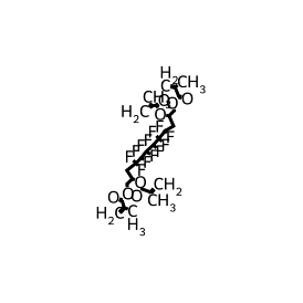 C=C(C)C(=O)OCC(CC(F)(F)C(F)(F)C(F)(F)C(F)(F)C(F)(F)C(F)(F)CC(COC(=O)C(=C)C)OC(=O)C(=C)C)OC(=O)C(=C)C